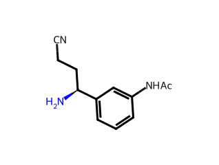 CC(=O)Nc1cccc([C@@H](N)CCC#N)c1